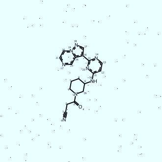 N#CCC(=O)N1CCCC(Nc2ccnc(-c3cnn4ccncc34)n2)C1